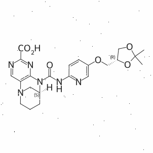 CC1(C)OC[C@@H](COc2ccc(NC(=O)N3c4nc(C(=O)O)ncc4N4CCC[C@H]3C4)nc2)O1